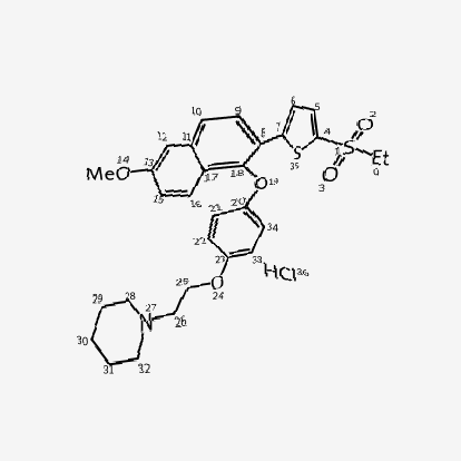 CCS(=O)(=O)c1ccc(-c2ccc3cc(OC)ccc3c2Oc2ccc(OCCN3CCCCC3)cc2)s1.Cl